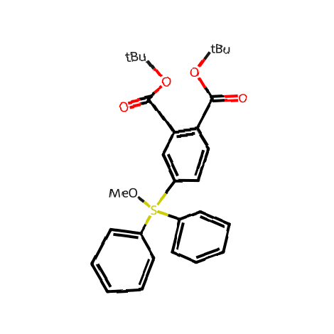 COS(c1ccccc1)(c1ccccc1)c1ccc(C(=O)OC(C)(C)C)c(C(=O)OC(C)(C)C)c1